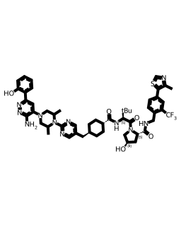 Cc1ncsc1-c1ccc(CNC(=O)[C@@H]2C[C@@H](O)CN2C(=O)[C@@H](NC(=O)[C@H]2CC[C@H](Cc3cnc(N4C(C)CN(c5cc(-c6ccccc6O)nnc5N)CC4C)nc3)CC2)C(C)(C)C)c(C(F)(F)F)c1